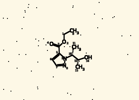 CCOC(=O)c1ccnn1[C@H](C)[C@@H](C)O